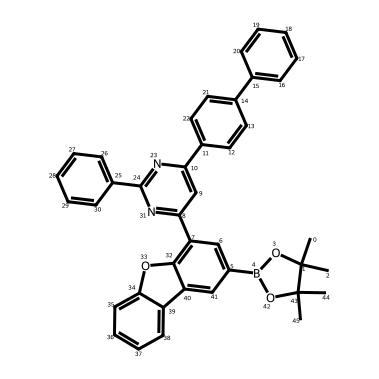 CC1(C)OB(c2cc(-c3cc(-c4ccc(-c5ccccc5)cc4)nc(-c4ccccc4)n3)c3oc4ccccc4c3c2)OC1(C)C